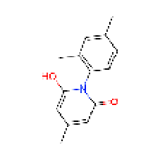 Cc1ccc(-n2c(O)cc(C)cc2=O)c(C)c1